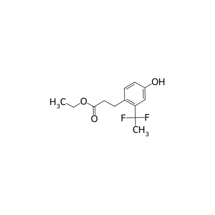 CCOC(=O)CCc1ccc(O)cc1C(C)(F)F